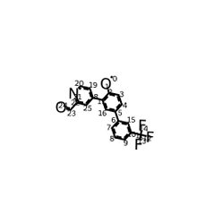 COc1ccc(-c2cccc(C(F)(F)F)c2)cc1-c1ccnc(C=O)c1